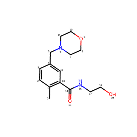 Cc1ccc(CN2CCOCC2)cc1C(=O)NCCO